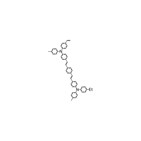 C=Cc1ccc(N(c2ccc(C)cc2)c2ccc(C=Cc3ccc(C=Cc4ccc(N(c5ccc(C)cc5)c5ccc(CC)cc5)cc4)cc3)cc2)cc1